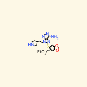 CCOC(=O)c1cc2c(cc1Sc1nc3c(N)ncnc3n1CCC1CCNCC1)OCO2